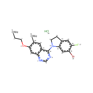 COCCOc1cc2ncnc(N3CCc4cc(F)c(Br)cc43)c2cc1OC.Cl